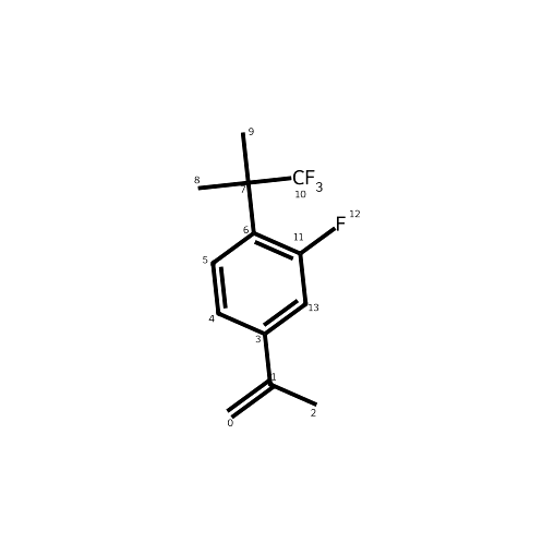 C=C(C)c1ccc(C(C)(C)C(F)(F)F)c(F)c1